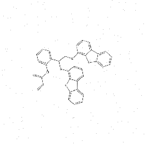 C=CC(=O)Oc1ccccc1C(CSc1cccc2c1sc1ccccc12)Sc1cccc2c1sc1ccccc12